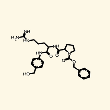 N=C(N)NCCCC(NC(=O)C1CCCN1C(=O)OCc1ccccc1)C(=O)Nc1ccc(CO)cc1